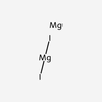 [I][Mg][I].[Mg]